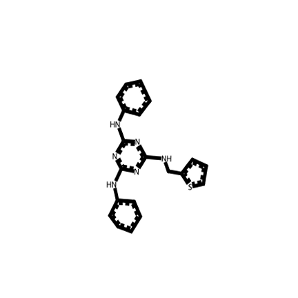 c1ccc(Nc2nc(NCc3cccs3)nc(Nc3ccccc3)n2)cc1